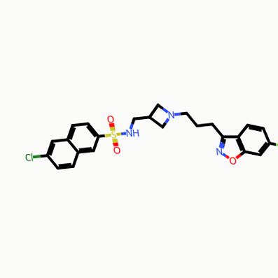 O=S(=O)(NCC1CN(CCCc2noc3cc(F)ccc23)C1)c1ccc2cc(Cl)ccc2c1